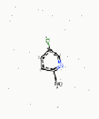 O=Nc1ccc(Cl)cn1